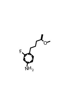 C=C(CCCc1ccc(N)cc1F)OC